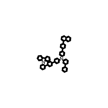 c1ccc(-c2cccc(N(c3ccc(-c4ccc(-c5ccccc5-n5c6ccccc6c6ccccc65)cc4)cc3)c3ccc(-c4ccc(-c5cccc6ccccc56)cc4)cc3)c2)cc1